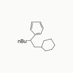 CCCCC(CC1CCCCC1)c1ccccc1